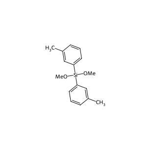 CO[Si](OC)(c1cccc(C)c1)c1cccc(C)c1